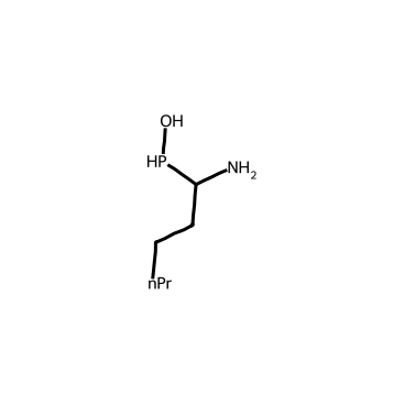 CCCCCC(N)PO